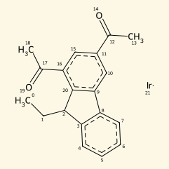 CCC1c2ccccc2-c2cc(C(C)=O)cc(C(C)=O)c21.[Ir]